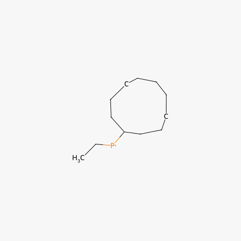 CC[P]C1CCCCCCCCC1